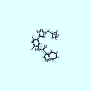 Cc1cc(C)c(-c2nnn(CC34COC(C3)C4)n2)cc1NC(=O)c1cnn2ccccc12